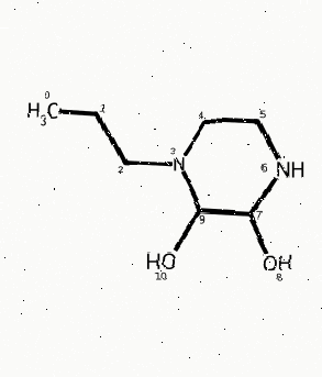 CCCN1CCNC(O)C1O